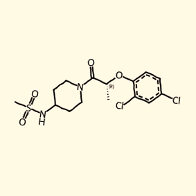 C[C@@H](Oc1ccc(Cl)cc1Cl)C(=O)N1CCC(NS(C)(=O)=O)CC1